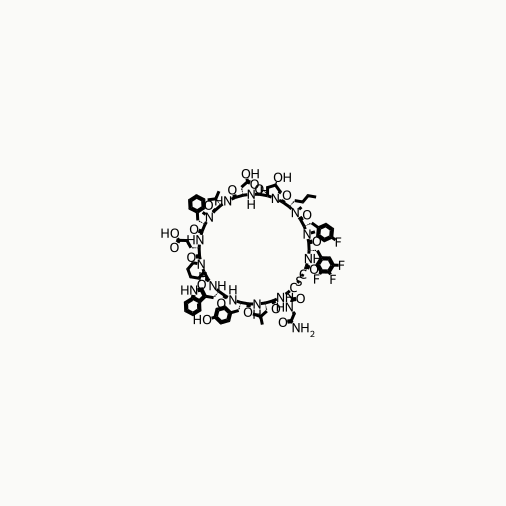 CCCC[C@H]1C(=O)N2C[C@@H](O)C[C@@H]2C(=O)N[C@@H](CC(=O)O)C(=O)N[C@@H](C(C)C)C(=O)N(C)[C@@H](Cc2ccccc2)C(=O)N[C@@H](CCC(=O)O)C(=O)N2CCCC[C@@H]2C(=O)N[C@@H](Cc2c[nH]c3ccccc23)C(=O)N[C@@H](Cc2ccc(O)cc2)C(=O)N[C@@H](CC(C)C)C(=O)N[C@H](C(=O)NCC(N)=O)CSCC(=O)N[C@@H](Cc2cc(F)c(F)c(F)c2)C(=O)N(C)[C@@H](Cc2ccc(F)cc2)C(=O)N1C